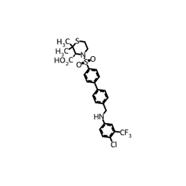 CC1(C)SCCN(S(=O)(=O)c2ccc(-c3ccc(CNc4ccc(Cl)c(C(F)(F)F)c4)cc3)cc2)[C@H]1C(=O)O